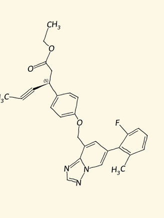 CC#C[C@@H](CC(=O)OCC)c1ccc(OCc2cc(-c3c(C)cccc3F)cn3ncnc23)cc1